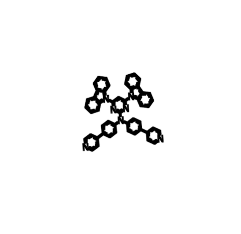 c1ccc2c(c1)c1ccccc1n2-c1cc(-n2c3ccccc3c3ccccc32)nc(N(c2ccc(-c3ccncc3)cc2)c2ccc(-c3ccncc3)cc2)n1